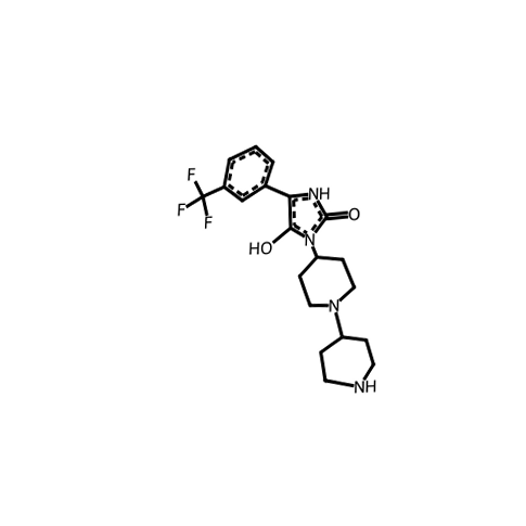 O=c1[nH]c(-c2cccc(C(F)(F)F)c2)c(O)n1C1CCN(C2CCNCC2)CC1